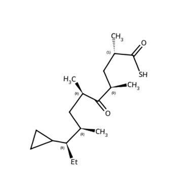 CC[C@@H](C1CC1)[C@H](C)C[C@@H](C)C(=O)[C@H](C)C[C@H](C)C(=O)S